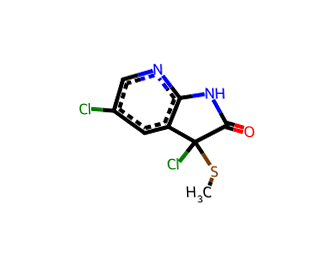 CSC1(Cl)C(=O)Nc2ncc(Cl)cc21